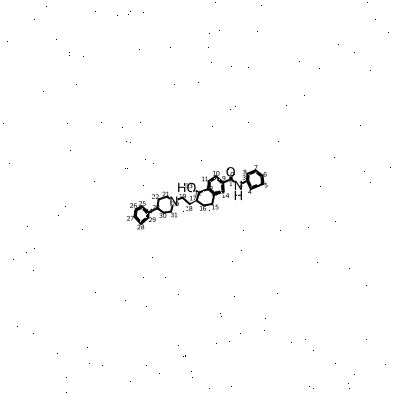 O=C(Nc1ccccc1)c1ccc2c(c1)CC[C@@H](CCN1CCC(c3ccccc3)CC1)[C@H]2O